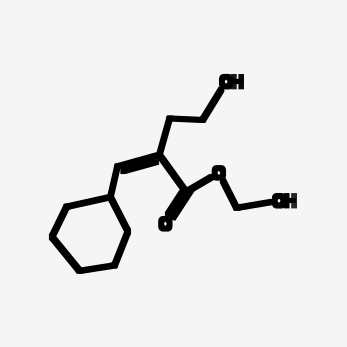 O=C(OCO)C(=CC1CCCCC1)CCO